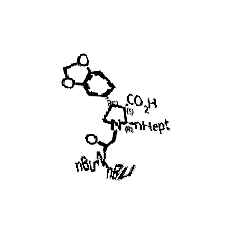 CCCCCCC[C@@H]1[C@@H](C(=O)O)[C@@H](c2ccc3c(c2)OCO3)CN1CC(=O)N(CCCC)CCCC